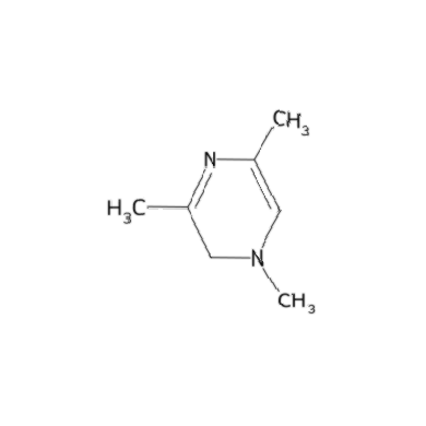 CC1=CN(C)CC(C)=N1